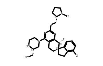 CCN1CCC[C@H]1COc1nc2c(c(N3CCN[C@@H](CC#N)C3)n1)CC[C@@]1(CCc3c(Cl)cccc31)[C@H]2F